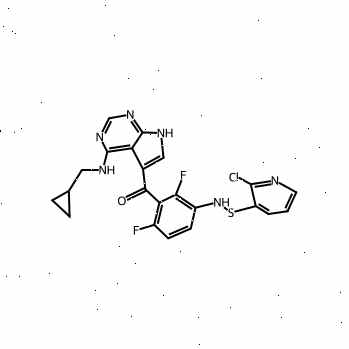 O=C(c1c(F)ccc(NSc2cccnc2Cl)c1F)c1c[nH]c2ncnc(NCC3CC3)c12